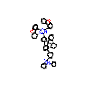 c1ccc(-n2c(-c3cccc(-c4ccc5c(c4)C4(c6ccccc6-c6ccccc64)c4cc(-c6nc(-c7cccc8oc9ccccc9c78)nc(-c7cccc8oc9ccccc9c78)n6)ccc4-5)c3)nc3ccccc32)cc1